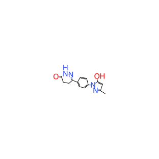 Cc1cc(O)n(-c2ccc(C3=NNC(=O)CC3)cc2)n1